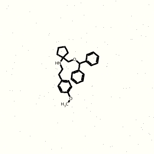 COc1ccc(CCNC2(COC(c3ccccc3)c3ccccc3)CCCC2)cc1